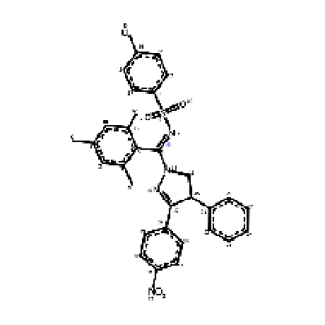 Cc1cc(C)c(/C(=N\S(=O)(=O)c2ccc(Cl)cc2)N2CC(c3ccccc3)C(c3ccc([N+](=O)[O-])cc3)=N2)c(C)c1